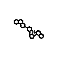 c1ccc2c(c1)ccc1cc(-c3ccc4c(c3)c3cccc5c6c7ccccc7ccc6n4c35)ccc12